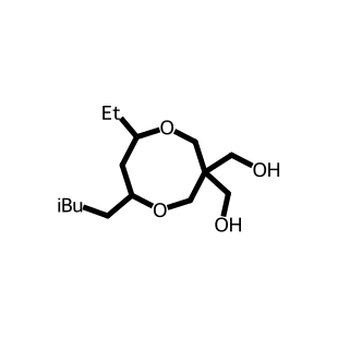 CCC(C)CC1CC(CC)OCC(CO)(CO)CO1